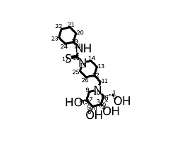 OC[C@@H]1[C@@H](O)[C@H](O)[C@@H](O)CN1CC1CCN(C(=S)NC2CCCCC2)CC1